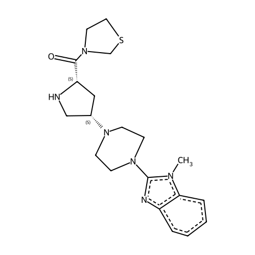 Cn1c(N2CCN([C@@H]3CN[C@H](C(=O)N4CCSC4)C3)CC2)nc2ccccc21